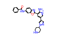 Nc1ncc(-c2cnn(C3CCNCC3)c2)cc1-c1nc2ccc(NC(=O)c3ccccc3)cc2o1